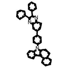 c1ccc(-c2nc3ccc(-c4ccc(-n5c6ccccc6c6c7ccccc7ccc65)cc4)cc3nc2-c2ccccc2)cc1